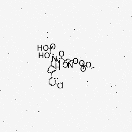 CCOC(=O)OCOc1cc(C(=O)NN(Cc2ccc(-c3cccc(Cl)c3)cc2)C[C@@H](O)C(=O)O)on1